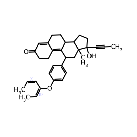 CC#CC1(O)CCC2C3CCC4=CC(=O)CCC4=C3C(c3ccc(OC(/C=C\C)=C/C)cc3)CC21C